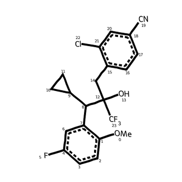 COc1ccc(F)cc1C(C1CC1)C(O)(Cc1ccc(C#N)cc1Cl)C(F)(F)F